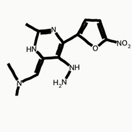 CC1=NC(c2ccc([N+](=O)[O-])o2)=C(NN)C(=CN(C)C)N1